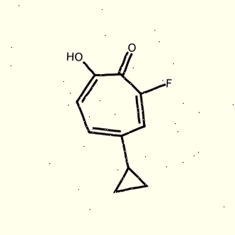 O=c1c(O)ccc(C2CC2)cc1F